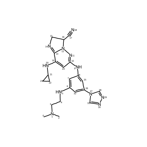 CN(C)CCNc1cc(NC2=NN3C(=NCC3C#N)C(NC3CC3)=C2)cc(-n2cnnc2)c1